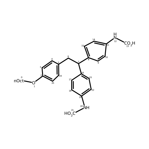 CCCCCCCCOc1ccc(CC(c2ccc(NC(=O)O)cc2)c2ccc(NC(=O)O)cc2)cc1